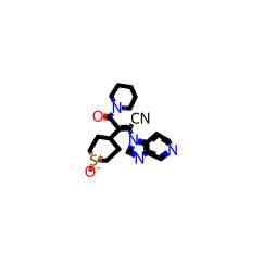 N#C/C(=C(\C(=O)N1CCCCC1)C1CC[S+]([O-])CC1)n1cnc2cnccc21